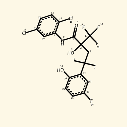 CC(C)(CC(O)(C(=O)Nc1cc(Cl)ccc1Cl)C(F)(F)F)c1cc(F)ccc1O